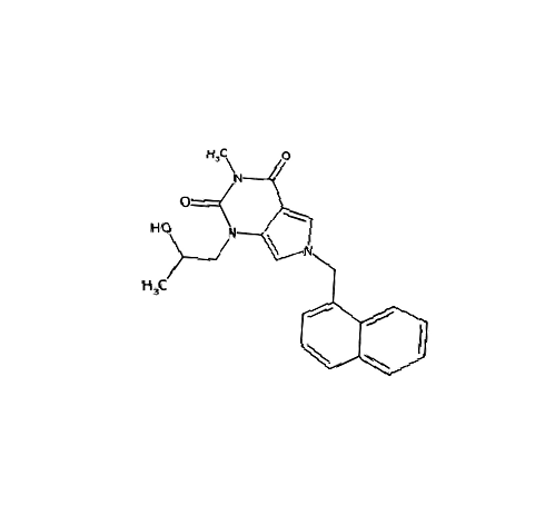 CC(O)Cn1c(=O)n(C)c(=O)c2cn(Cc3cccc4ccccc34)cc21